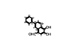 O=Cc1cc(O)c(O)c2ncc(-c3ccccc3)cc12